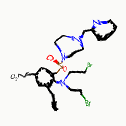 C#Cc1cc([N+](=O)[O-])cc(S(=O)(=O)N2CCN(Cc3ccccn3)CC2)c1N(CCBr)CCBr